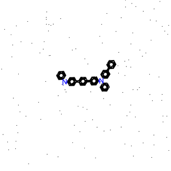 CN(c1ccccc1)c1ccc(-c2ccc(-c3ccc(N(c4ccccc4)c4ccc(-c5ccccc5)cc4)cc3)cc2)cc1